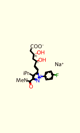 CNC(=O)c1nn(-c2ccc(F)cc2)c(C=C[C@H](O)C[C@@H](O)CC(=O)[O-])c1C(C)C.[Na+]